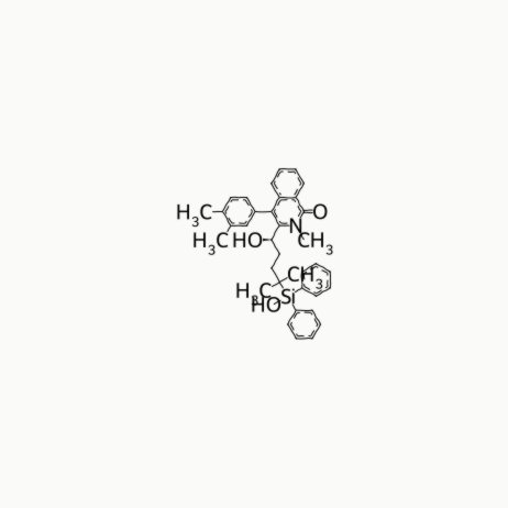 Cc1ccc(-c2c([C@H](O)CCC(C)(C)[Si](O)(c3ccccc3)c3ccccc3)n(C)c(=O)c3ccccc23)cc1C